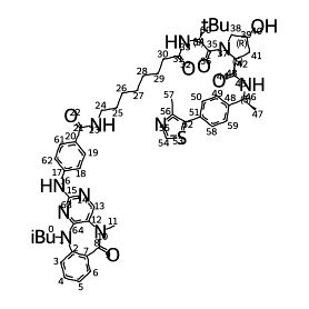 CCC(C)N1c2ccccc2C(=O)N(C)c2cnc(Nc3ccc(C(=O)NCCCCCCCC(=O)N[C@H](C(=O)N4C[C@H](O)C[C@H]4C(=O)N[C@@H](C)c4ccc(-c5scnc5C)cc4)C(C)(C)C)cc3)nc21